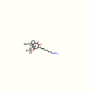 CC[Si](CC)(CC)O[C@@H]1C[C@](C)(C/C=C/CCCCCN)C(=O)[C@H](C)[C@@]23CC[C@@H](C)[C@]1(C)[C@@H]2[C@H](OC)CC3